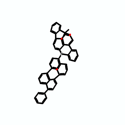 CC1(C)c2ccccc2-c2ccc(N(c3ccc(-c4cccc5c(-c6ccccc6)ccc(-c6ccccc6)c45)cc3)c3ccccc3-c3ccccc3)cc21